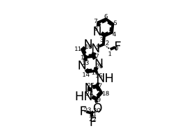 FC[C@@H](c1ccccn1)n1ncc2ncc(Nc3cc(OC(F)F)[nH]n3)nc21